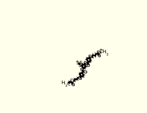 C=COC(=O)CCCCOc1ccc(C(=O)Oc2ccc(OC(=O)c3ccc(OCCCCOC(=O)C=C)cc3)c3sc(=S)sc23)cc1